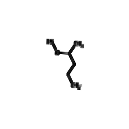 [CH2]CCC(C)OS